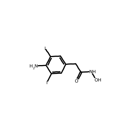 Nc1c(I)cc(CC(=O)NO)cc1I